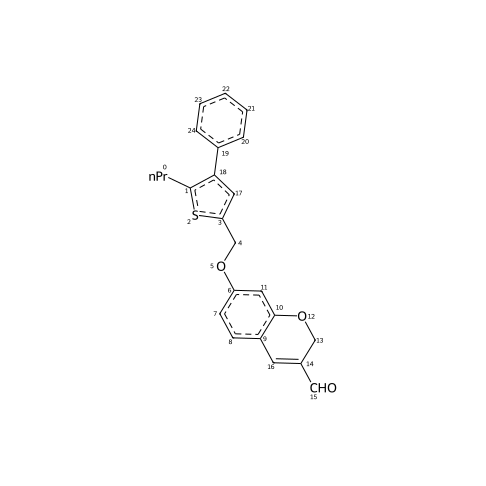 CCCc1sc(COc2ccc3c(c2)OCC(C=O)=C3)cc1-c1ccccc1